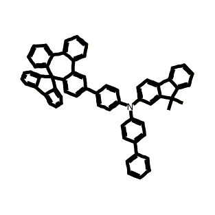 CC1(C)c2ccccc2-c2ccc(N(c3ccc(-c4ccccc4)cc3)c3ccc(-c4ccc5c(c4)-c4ccccc4-c4ccccc4C54c5ccccc5-c5ccccc54)cc3)cc21